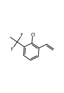 C=Cc1cccc(C(C)(F)F)c1Cl